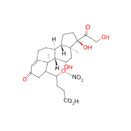 C[C@]12C[C@H](O)[C@H]3[C@@H](CCC4=CC(=O)CC(C(CCC(=O)O)O[N+](=O)[O-])[C@@]43C)[C@@H]1CC[C@]2(O)C(=O)CO